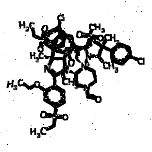 CCOc1cc(S(=O)(=O)CC)ccc1C1=NC(C)(c2ccc(Cl)cc2)C(C)N1[C@H]1CN(C=O)CC[N@+]1(CCCS(C)(=O)=O)N1C(c2ccc(S(=O)(=O)CC)cc2OCC)=NC(C)(c2ccc(Cl)cc2)C1C